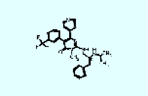 CC(C)N[C@H](CNc1nc(-c2ccncc2)c(-c2cccc(C(F)(F)F)c2)c(=O)n1C)Cc1ccccc1